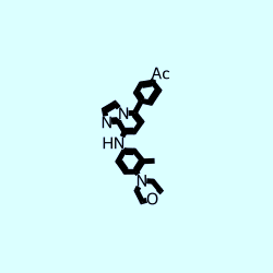 CC(=O)c1ccc(-c2ccc(Nc3ccc(N4CCOCC4)c(C)c3)c3nccn23)cc1